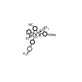 CCOc1ncccc1C1(NCc2ccc(N3CCN(C)CC3)cc2)C(=O)N(S(=O)(=O)c2ccc(OC)cc2OC(F)(F)F)c2ccc(C#N)cc21